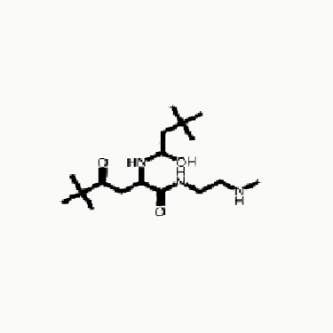 CNCCNC(=O)C(CC(=O)C(C)(C)C)NC(O)CC(C)(C)C